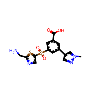 Cn1cc(-c2cc(C(=O)O)cc(S(=O)(=O)c3cnc(CN)s3)c2)cn1